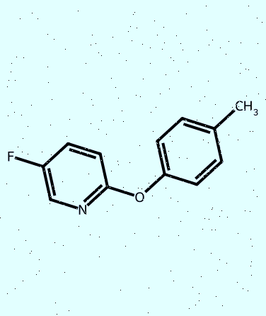 Cc1ccc(Oc2ccc(F)cn2)cc1